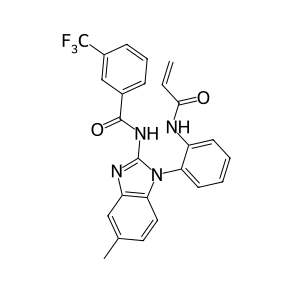 C=CC(=O)Nc1ccccc1-n1c(NC(=O)c2cccc(C(F)(F)F)c2)nc2cc(C)ccc21